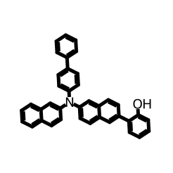 Oc1ccccc1-c1ccc2cc(N(c3ccc(-c4ccccc4)cc3)c3ccc4ccccc4c3)ccc2c1